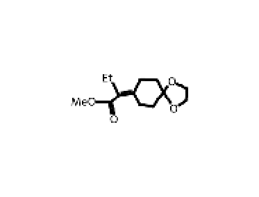 CCC(C(=O)OC)=C1CCC2(CC1)OCCO2